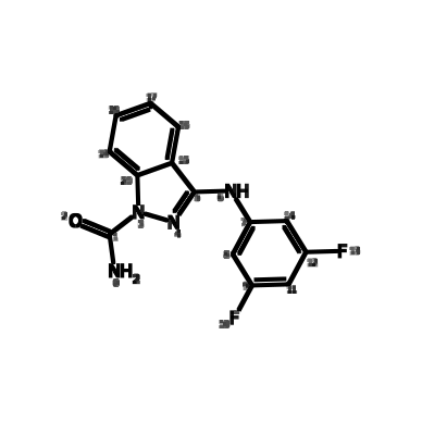 NC(=O)n1nc(Nc2cc(F)cc(F)c2)c2c[c]ccc21